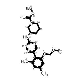 CCOCOc1cc(C)cc(C)c1-c1cnc(N[C@@H]2CCCN(C(=O)OC(C)(C)C)C2)nn1